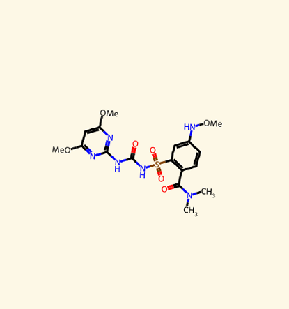 CONc1ccc(C(=O)N(C)C)c(S(=O)(=O)NC(=O)Nc2nc(OC)cc(OC)n2)c1